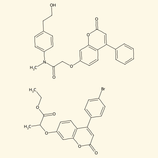 CCOC(=O)C(C)Oc1ccc2c(-c3ccc(Br)cc3)cc(=O)oc2c1.CN(C(=O)COc1ccc2c(-c3ccccc3)cc(=O)oc2c1)c1ccc(CCO)cc1